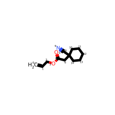 C=CCOC(=O)CC1(C#N)CCCCC1